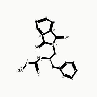 CC(C)(C)OC(=O)N[C@H](Cc1ccccc1)CN1C(=O)c2ccccc2C1=O